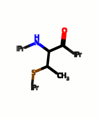 CC(C)NC(C(=O)C(C)C)C(C)SC(C)C